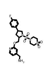 NCc1ccnc(OCC2CC(c3ccc(F)cc3)CN2S(=O)(=O)N2CCS(=O)(=O)CC2)c1